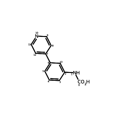 O=C(O)Nc1cccc(-c2ccncc2)c1